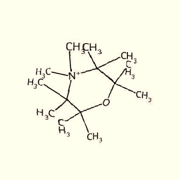 CC1(C)OC(C)(C)C(C)(C)[N+](C)(C)C1(C)C